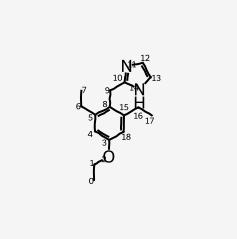 CCOc1cc(CC)c(Cc2ncc[nH]2)c(CC)c1